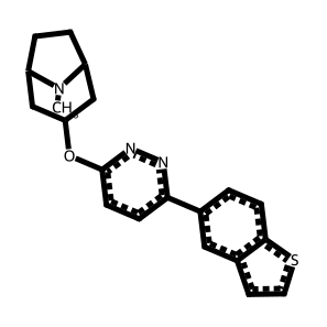 CN1C2CCC1CC(Oc1ccc(-c3ccc4sccc4c3)nn1)C2